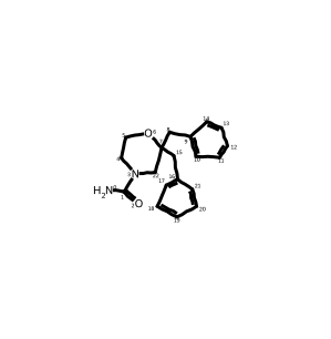 NC(=O)N1CCOC(Cc2ccccc2)(Cc2ccccc2)C1